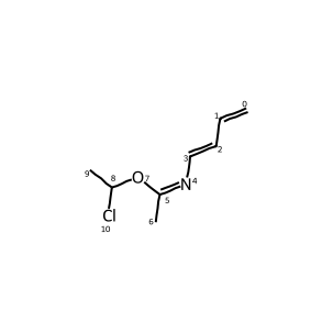 C=C/C=C/N=C(/C)OC(C)Cl